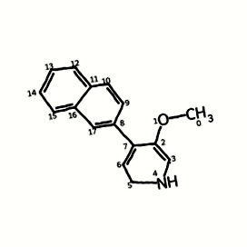 COC1=[C]NCC=C1c1ccc2ccccc2c1